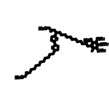 COCOCCCCCCCCCCCC1CCC(C2CCC(C(CCCCCCCCCCC(O)Cc3c(C)c(OC)c(OC)c(OC)c3OC)COCOC)O2)O1